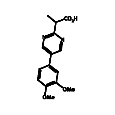 COc1ccc(-c2cnc(C(C)C(=O)O)nc2)cc1OC